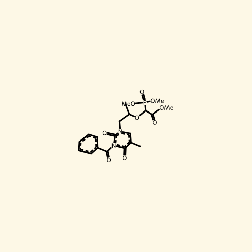 COC(=O)C(OC(C)Cn1cc(C)c(=O)n(C(=O)c2ccccc2)c1=O)P(=O)(OC)OC